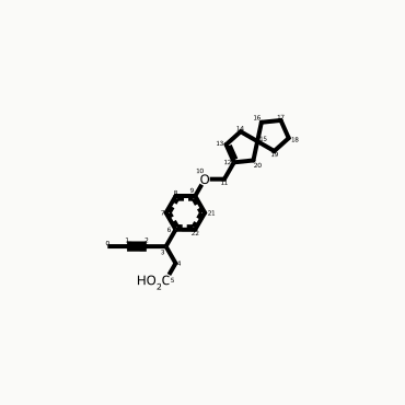 CC#CC(CC(=O)O)c1ccc(OCC2=CCC3(CCCC3)C2)cc1